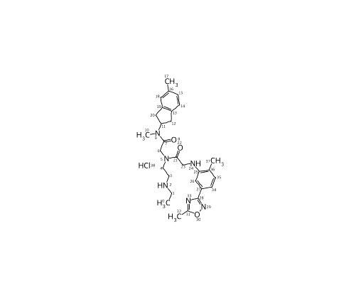 CCNCCN(CC(=O)N(C)C1Cc2ccc(C)cc2C1)C(=O)CNc1cc(-c2noc(C)n2)ccc1C.Cl